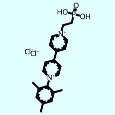 Cc1cc(C)c(-[n+]2ccc(-c3cc[n+](CCP(=O)(O)O)cc3)cc2)c(C)c1.[Cl-].[Cl-]